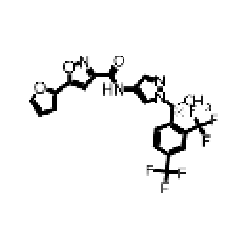 C[C@H](c1ccc(C(F)(F)F)cc1C(F)(F)F)n1cc(NC(=O)c2cc(-c3ccco3)on2)cn1